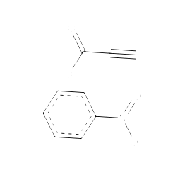 C#CC(=O)O.O=[N+]([O-])c1ccccc1